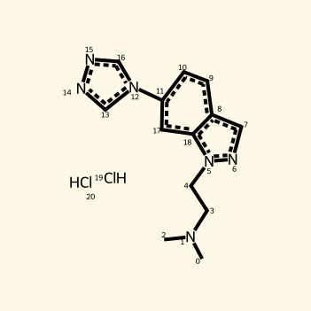 CN(C)CCn1ncc2ccc(-n3cnnc3)cc21.Cl.Cl